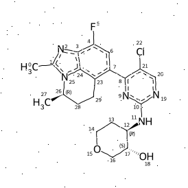 Cc1nc2c(F)cc(-c3nc(N[C@@H]4CCOC[C@H]4O)ncc3Cl)c3c2n1[C@H](C)CC3